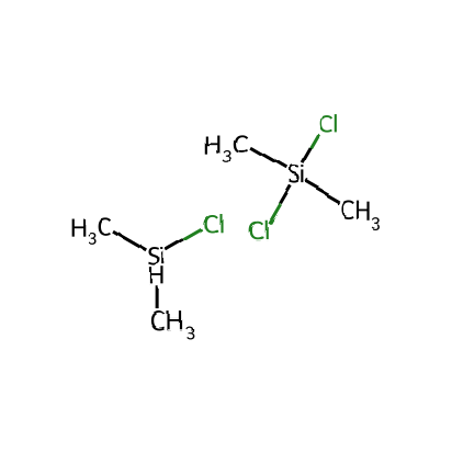 C[SiH](C)Cl.C[Si](C)(Cl)Cl